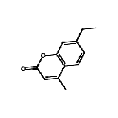 CCc1ccc2c(C)cc(=O)oc2c1